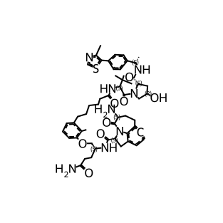 Cc1ncsc1-c1ccc([C@H](C)NC(=O)[C@@H]2C[C@@H](O)CN2C(=O)[C@@H](NC(=O)CCCCCc2cccc(OC[C@H](CCC(N)=O)NC(=O)[C@@H]3Cc4cccc5c4N3C(=O)[C@@H](N)CC5)c2C)C(C)(C)C)cc1